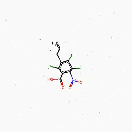 C=CCc1c(F)c(F)c([N+](=O)[O-])c(C(=O)O)c1F